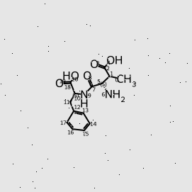 CC(C(=O)O)[C@H](N)C(=O)N[C@@H](Cc1ccccc1)C(=O)O